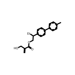 C=C(CO)C(=O)OCC(CC)c1ccc(-c2ccc(C)cc2)cc1